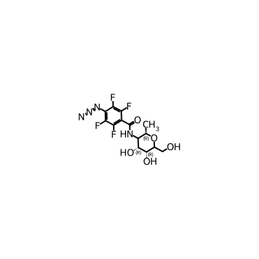 C[C@H]1OC(CO)[C@H](O)[C@H](O)C1NC(=O)c1c(F)c(F)c(N=[N+]=[N-])c(F)c1F